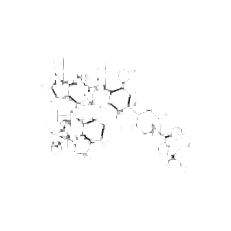 COc1cc(C2CCN(C(=O)OC(C)(C)C)CC2)c(C)cc1Nc1nc(Nc2cccc3c2N(S(C)(=O)=O)CC3)c2cc[nH]c2n1